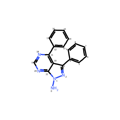 Nn1nc(-c2ccccc2)c2c(-c3ccccc3)ncnc21